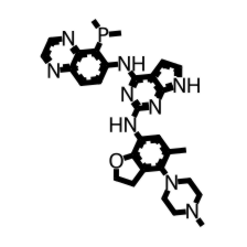 Cc1cc(Nc2nc(Nc3ccc4nccnc4c3P(C)C)c3cc[nH]c3n2)c2c(c1N1CCN(C)CC1)CCO2